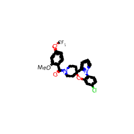 COc1cc(OC(F)(F)F)ccc1C(=O)N1CCC2(CC1)Oc1cc(Cl)ccc1-n1cccc12